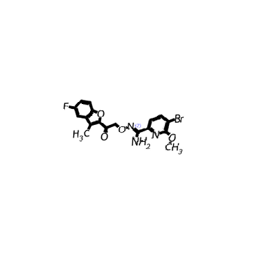 COc1nc(/C(N)=N/OCC(=O)c2oc3ccc(F)cc3c2C)ccc1Br